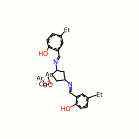 CC(=O)[O-].CC(=O)[O-].CCc1ccc(O)c(C=NC2CCC(N=Cc3cc(CC)ccc3O)C2)c1.[Co+2]